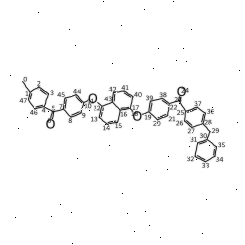 Cc1ccc(C(=O)c2ccc(Oc3cccc4c(Oc5ccc(C(=O)c6ccc(Cc7ccccc7)cc6)cc5)cccc34)cc2)cc1